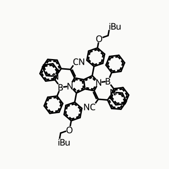 CCC(C)COc1ccc(-c2c3/c(=C(\C#N)c4ccccn4)n(B(c4ccccc4)c4ccccc4)c(-c4ccc(OCC(C)CC)cc4)c3/c(=C(\C#N)c3ccccn3)n2B(c2ccccc2)c2ccccc2)cc1